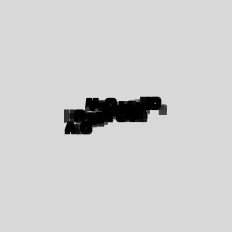 COc1cc(N=Nc2nc3ccc([N+](=O)[O-])cc3s2)c(OC)cc1N=Nc1ccc(N(CCCO)CCOC(C)=O)cc1